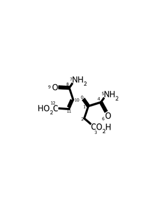 C=C(CC(=O)O)C(N)=O.NC(=O)/C=C\C(=O)O